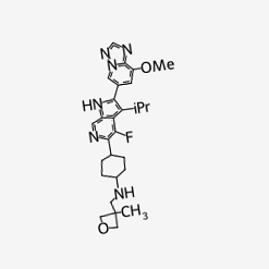 COc1cc(-c2[nH]c3cnc(C4CCC(NCC5(C)COC5)CC4)c(F)c3c2C(C)C)cn2ncnc12